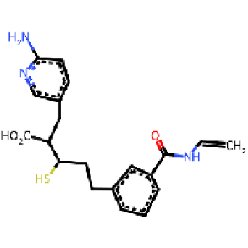 C=CNC(=O)c1cccc(CCC(S)C(Cc2ccc(N)nc2)C(=O)O)c1